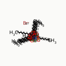 CCCCCCCCCC[N+](C)(C)C(N(F)S(=O)(=O)CCCCCCCC)(N(F)S(=O)(=O)CCCCCCCC)C(N(F)S(=O)(=O)CCCCCCCC)(N(F)S(=O)(=O)CCCCCCCC)C(N(F)S(=O)(=O)CCCCCCCC)(N(F)S(=O)(=O)CCCCCCCC)N(F)S(=O)(=O)CCCCCCCC.[Br-]